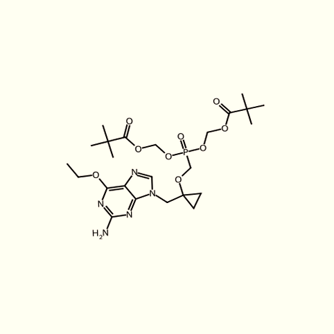 CCOc1nc(N)nc2c1ncn2CC1(OCP(=O)(OCOC(=O)C(C)(C)C)OCOC(=O)C(C)(C)C)CC1